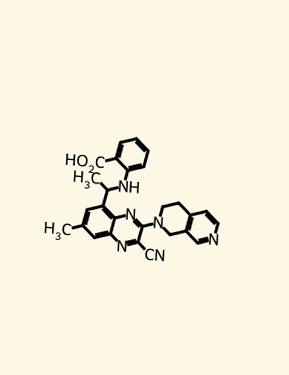 Cc1cc(C(C)Nc2ccccc2C(=O)O)c2nc(N3CCc4ccncc4C3)c(C#N)nc2c1